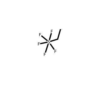 [CH2]CS(F)(F)(F)(F)F